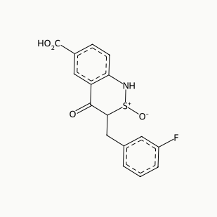 O=C(O)c1ccc2c(c1)C(=O)C(Cc1cccc(F)c1)[S+]([O-])N2